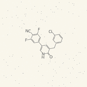 N#Cc1c(F)cc(-c2c[nH]c(=O)c(Cc3cccc(Cl)c3)c2)cc1F